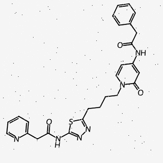 O=C(Cc1ccccc1)Nc1ccn(CCCCc2nnc(NC(=O)Cc3ccccn3)s2)c(=O)c1